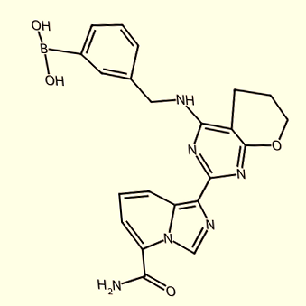 NC(=O)c1cccc2c(-c3nc(NCc4cccc(B(O)O)c4)c4c(n3)OCCC4)ncn12